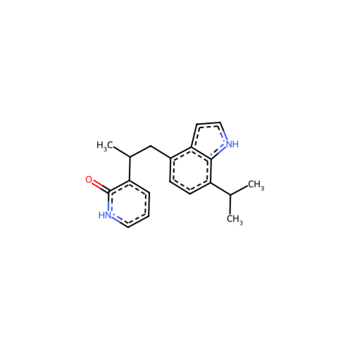 CC(C)c1ccc(CC(C)c2ccc[nH]c2=O)c2cc[nH]c12